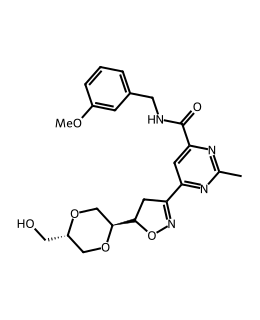 COc1cccc(CNC(=O)c2cc(C3=NOC([C@@H]4CO[C@@H](CO)CO4)C3)nc(C)n2)c1